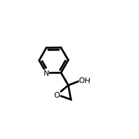 OC1(c2ccccn2)CO1